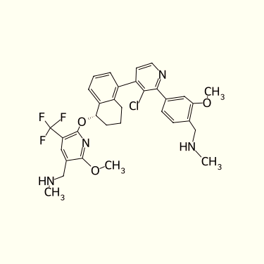 CNCc1ccc(-c2nccc(-c3cccc4c3CCC[C@@H]4Oc3nc(OC)c(CNC)cc3C(F)(F)F)c2Cl)cc1OC